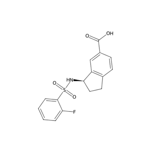 O=C(O)c1ccc2c(c1)[C@H](NS(=O)(=O)c1ccccc1F)CC2